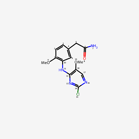 COc1ccc(CC(N)=O)cc1Nc1nc(Cl)ncc1OC